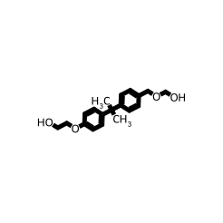 CC(C)(c1ccc(COCO)cc1)c1ccc(OCCO)cc1